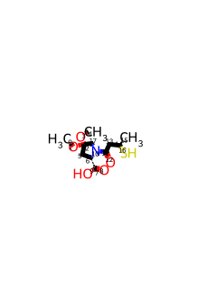 COC1(OC)C[C@@H](C(=O)O)N(C(=O)C[C@H](C)S)C1